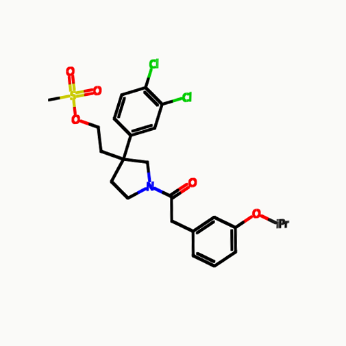 CC(C)Oc1cccc(CC(=O)N2CCC(CCOS(C)(=O)=O)(c3ccc(Cl)c(Cl)c3)C2)c1